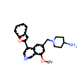 CC(C)Oc1cc(CN2CCC(N)CC2)cc2c(-c3cc4ccccc4o3)cncc12